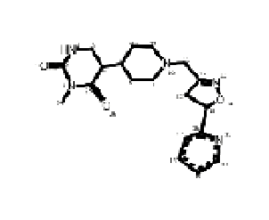 CN1C(=O)NCC(C2CCN(CC3=NOC(c4ccccn4)C3)CC2)C1=O